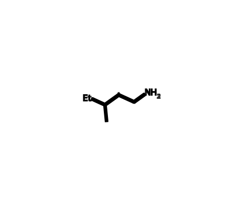 CCC(C)[CH]CN